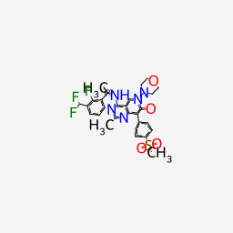 Cc1nc(N[C@H](C)c2cccc(C(F)F)c2F)c2cn(N3CCOCC3)c(=O)c(-c3ccc(S(C)(=O)=O)cc3)c2n1